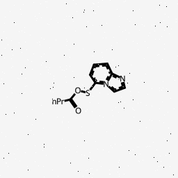 CCCC(=O)OSc1cccc2nccn12